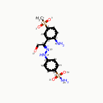 CS(=O)(=O)c1ccc(N)c(/C(C=O)=N/Nc2ccc(S(N)(=O)=O)cc2)c1